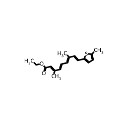 CCOC(=O)C=C(C)C=CC=C(C)C=Cc1ccc(C)s1